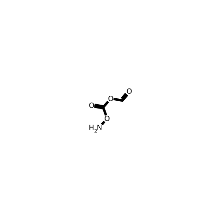 NOC(=O)OC=O